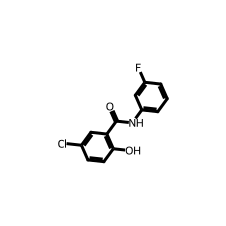 O=C(Nc1cccc(F)c1)c1cc(Cl)ccc1O